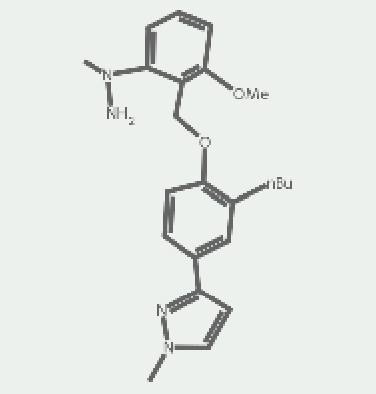 CCCCc1cc(-c2ccn(C)n2)ccc1OCc1c(OC)cccc1N(C)N